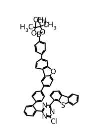 CC1(C)OB(c2ccc(-c3ccc4c(c3)oc3ccc(-c5ccc(-c6ccccc6-c6nc(Cl)nc(-c7cccc8c7sc7ccccc78)n6)cc5)cc34)cc2)OC1(C)C